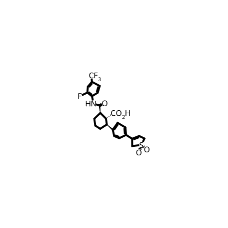 O=C(O)[C@@H]1[C@@H](c2ccc(C3=CCS(=O)(=O)C3)cc2)CCC[C@H]1C(=O)Nc1ccc(C(F)(F)F)cc1F